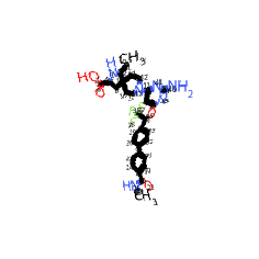 CCC1NC(C(=O)O)CC12CCN(c1cc(O[C@H](c3ccc(-c4ccc(C(=O)NC)cc4)cc3)C(F)(F)F)nc(N)n1)CC2